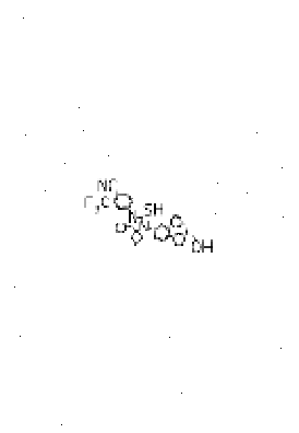 N#Cc1ccc(N2C(=O)C3(CCC3)N(c3ccc4c(c3)OC[C@H](CO)O4)C2S)cc1C(F)(F)F